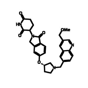 COCc1cnc2ccc(CN3CC[C@H](Oc4ccc5c(c4)CN(C4CCC(=O)NC4=O)C5=O)C3)cc2c1